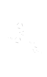 Cn1cc(C(=O)NCC2CN(S(=O)(=O)c3ccc(F)c(Cl)c3)c3cc(NC(=O)O)ccc3O2)cn1